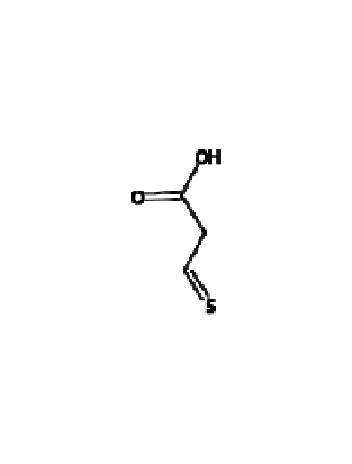 O=C(O)CC=S